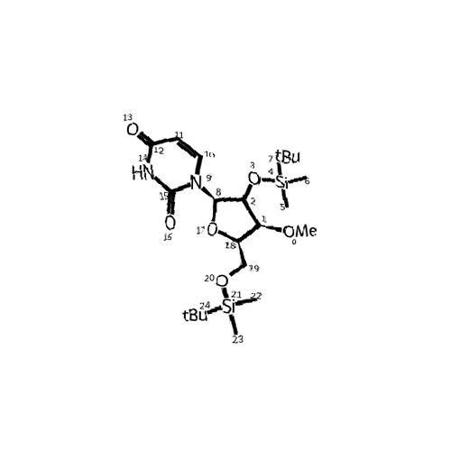 CO[C@@H]1C(O[Si](C)(C)C(C)(C)C)[C@H](n2ccc(=O)[nH]c2=O)O[C@@H]1CO[Si](C)(C)C(C)(C)C